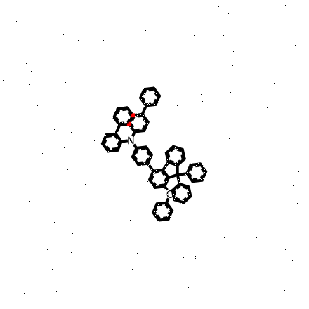 c1ccc(Oc2ccc(-c3ccc(N(c4ccc(-c5ccccc5)cc4)c4ccccc4-c4ccccc4)cc3)c3c2C(c2ccccc2)(c2ccccc2)c2ccccc2-3)cc1